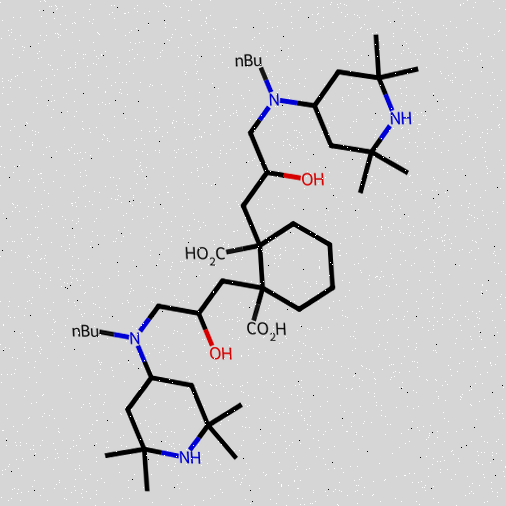 CCCCN(CC(O)CC1(C(=O)O)CCCCC1(CC(O)CN(CCCC)C1CC(C)(C)NC(C)(C)C1)C(=O)O)C1CC(C)(C)NC(C)(C)C1